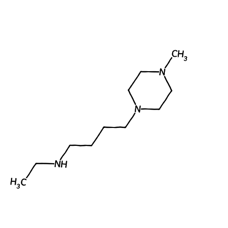 CCNCCCCN1CCN(C)CC1